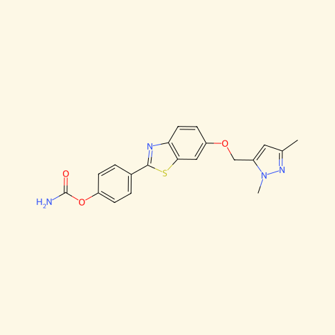 Cc1cc(COc2ccc3nc(-c4ccc(OC(N)=O)cc4)sc3c2)n(C)n1